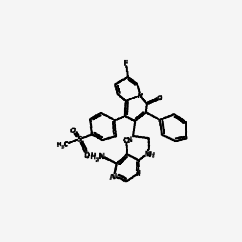 CS(=O)(=O)c1ccc(-c2c(CCNc3ncnc(N)c3C#N)c(-c3ccccc3)c(=O)n3cc(F)ccc23)cc1